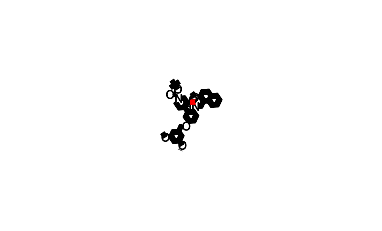 COc1cc(COc2cccc(C3=C(C(=O)NCc4c(OC)ccc5ccccc45)CN(C(=O)OC(C)(C)C)CC3)c2)cc(OC)c1